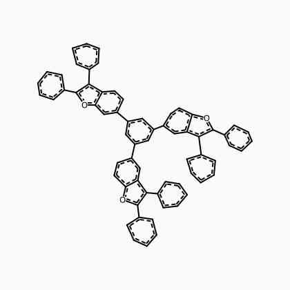 c1ccc(-c2oc3cc(-c4cc(-c5ccc6oc(-c7ccccc7)c(-c7ccccc7)c6c5)cc(-c5ccc6oc(-c7ccccc7)c(-c7ccccc7)c6c5)c4)ccc3c2-c2ccccc2)cc1